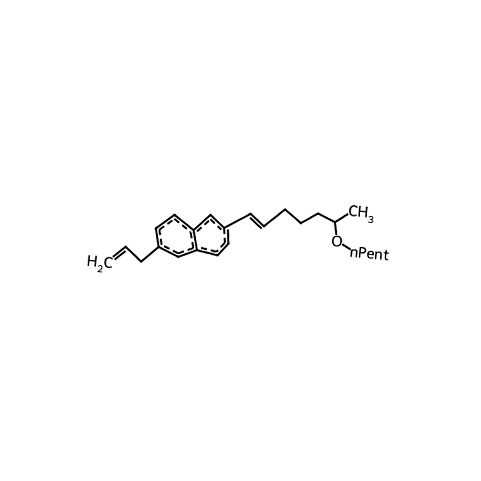 C=CCc1ccc2cc(/C=C/CCCC(C)OCCCCC)ccc2c1